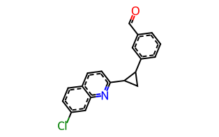 O=Cc1cccc(C2CC2c2ccc3ccc(Cl)cc3n2)c1